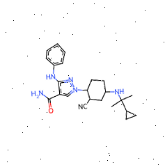 CC(C)(NC1CCC(n2cc(C(N)=O)c(Nc3ccccc3)n2)C(C#N)C1)C1CC1